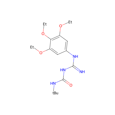 CCOc1cc(NC(=N)NC(=O)NC(C)(C)C)cc(OCC)c1OCC